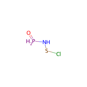 O=[PH2]NSCl